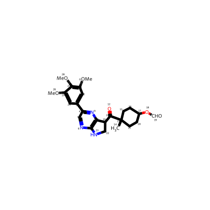 COc1cc(-c2cnc3c(n2)C(C(=O)C2(C)CCC(OC=O)CC2)CN3)cc(OC)c1OC